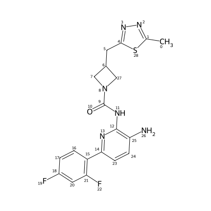 Cc1nnc(CC2CN(C(=O)Nc3nc(-c4ccc(F)cc4F)ccc3N)C2)s1